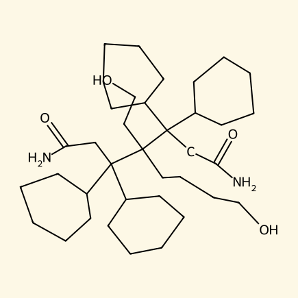 NC(=O)CC(C1CCCCC1)(C1CCCCC1)C(CCO)(CCCCO)C(CC(N)=O)(C1CCCCC1)C1CCCCC1